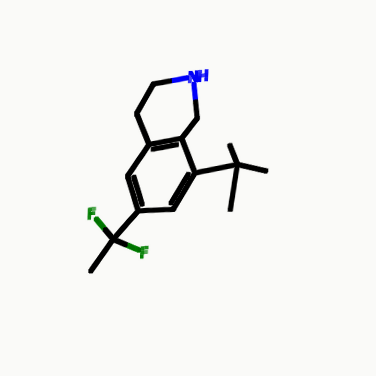 CC(C)(C)c1cc(C(C)(F)F)cc2c1CNCC2